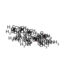 CC(C)N1CC(COP(=O)(N(C)C)N2CC(COP(=O)(N(C)C)N3CC(COP(=O)(N(C)C)N4CC(COP(=O)(N(C)C)N5CC(COP(=O)(C(C)C)N(C)C)OC(n6cnc7c(=O)[nH]c(N)nc76)C5)OC(n5ccc(N)nc5=O)C4)OC(n4cnc5c(N)ncnc54)C3)OC(n3cnc4c(=O)[nH]c(N)nc43)C2)OC(n2ccc(N)nc2=O)C1